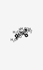 COc1cccc(C2C(=O)N(C[C@H](NC(=O)OC(C)(C)C)c3ccccc3)C(=O)NC2C)c1F